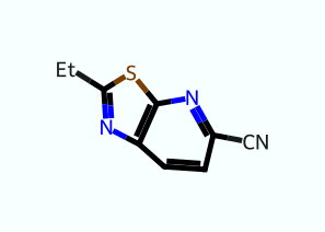 CCc1nc2ccc(C#N)nc2s1